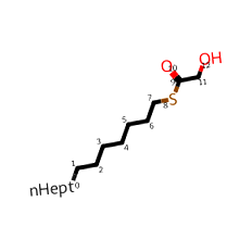 CCCCCCCCCCCCCCSC(=O)CO